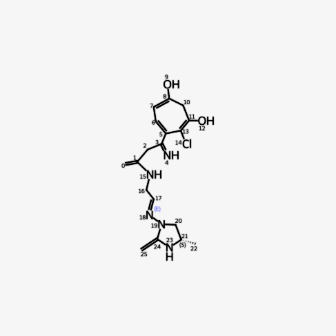 C=C(CC(=N)C1=CC=C(O)CC(O)=C1Cl)NC/C=N/N1C[C@H](C)NC1=C